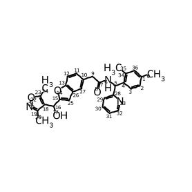 Cc1ccc(C(NC(=O)Cc2ccc3oc(C(O)c4c(C)noc4C)cc3c2)c2ccccn2)c(C)c1